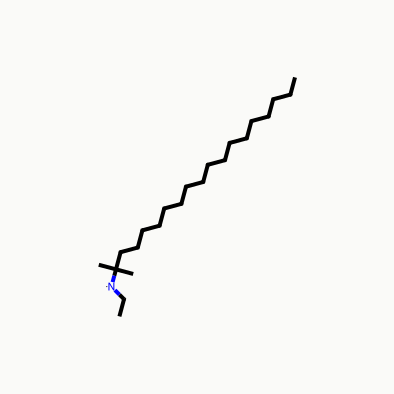 CCCCCCCCCCCCCCCCCC(C)(C)[N]CC